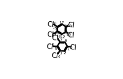 Clc1cc(Cl)c(Cl)c(Cl)c1.Clc1cc(Cl)c(Cl)cc1Cl